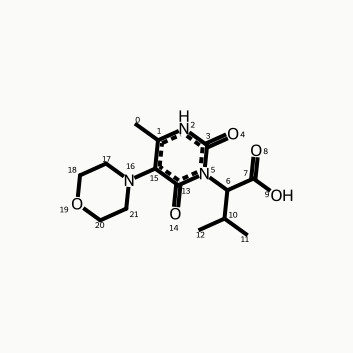 Cc1[nH]c(=O)n(C(C(=O)O)C(C)C)c(=O)c1N1CCOCC1